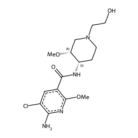 COc1nc(N)c(Cl)cc1C(=O)N[C@H]1CCN(CCO)C[C@H]1OC